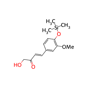 COc1cc(/C=C/C(=O)CO)ccc1O[Si](C)(C)C